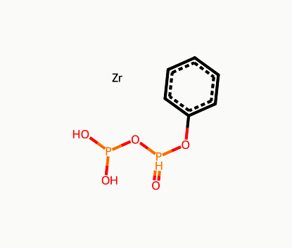 O=[PH](Oc1ccccc1)OP(O)O.[Zr]